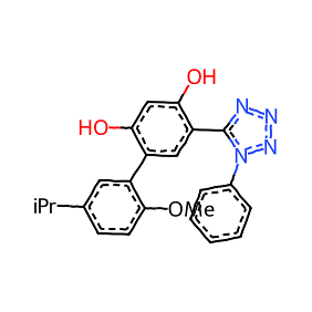 COc1ccc(C(C)C)cc1-c1cc(-c2nnnn2-c2ccccc2)c(O)cc1O